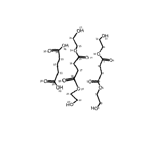 O=C(CCC(=O)OCCO)OCCO.O=C(CCC(=O)OCCO)OCCO.O=C(O)CCCC(=O)O